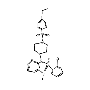 CCc1ccc(S(=O)(=O)N2CCC(N(c3ncccc3OC)S(=O)(=O)c3ccccc3Cl)CC2)cc1